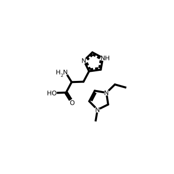 CCN1C=CN(C)C1.NC(Cc1c[nH]cn1)C(=O)O